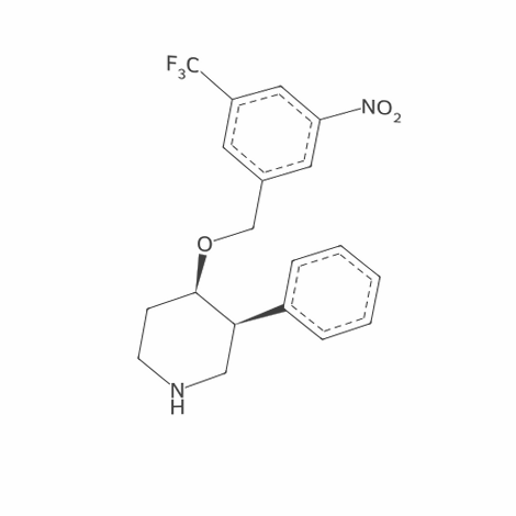 O=[N+]([O-])c1cc(CO[C@@H]2CCNC[C@@H]2c2ccccc2)cc(C(F)(F)F)c1